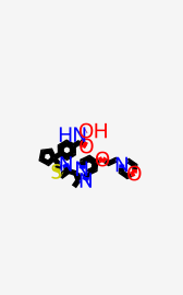 Cc1nc2cc(OCCN3CCOCC3)ccn2c1-c1csc(C2(c3ccc(C(=O)NO)cc3)CCCC2)n1